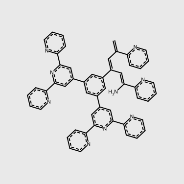 C=C(/C=C(\C=C(/N)c1ccccn1)c1cc(-c2cc(-c3ccccn3)nc(-c3ccccn3)c2)cc(-c2cc(-c3ccccn3)nc(-c3ccccn3)c2)c1)c1ccccn1